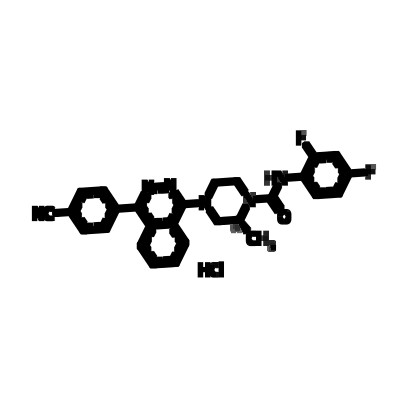 C[C@H]1CN(c2nnc(-c3ccc(C#N)cc3)c3ccccc23)CCN1C(=O)Nc1ccc(F)cc1F.Cl